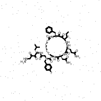 CC[C@H](C)C1NN[C@@H](CCC(N)=O)C(=O)N[C@@H](CC(N)=O)C(=O)N[C@H](C(=O)N(CC(=O)N[C@@H](CC(C)C)C(=O)C(=O)CNN)Cc2ccc(F)cc2)CCSCCC(=O)N[C@@H](Cc2ccccc2)C(=O)C1=O